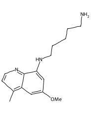 COc1cc(NCCCCCN)c2nccc(C)c2c1